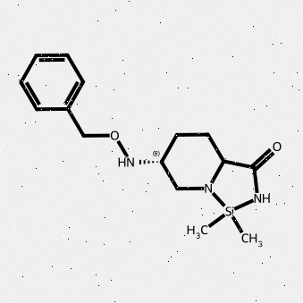 C[Si]1(C)NC(=O)C2CC[C@@H](NOCc3ccccc3)CN21